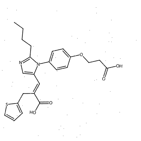 CCCCc1ncc(/C=C(\Cc2cccs2)C(=O)O)n1-c1ccc(OCCC(=O)O)cc1